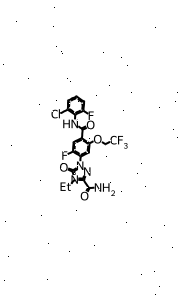 CCn1c(C(N)=O)nn(-c2cc(OCC(F)(F)F)c(C(=O)Nc3c(F)cccc3Cl)cc2F)c1=O